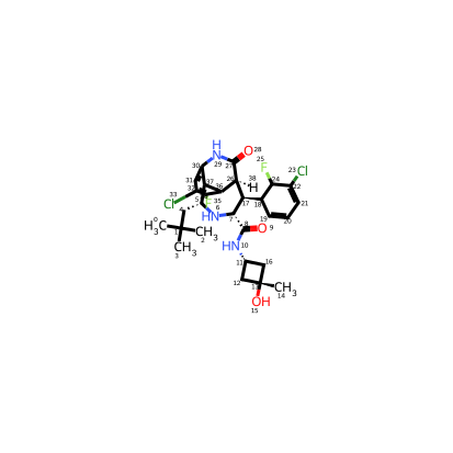 CC(C)(C)C[C@H]1N[C@@H](C(=O)N[C@H]2C[C@@](C)(O)C2)[C@H](C2C=CC=C(Cl)C2F)[C@@H]2C(=O)NC3=CC(Cl)=C(F)C2C31